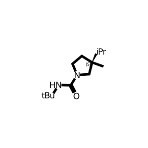 CC(C)[C@]1(C)CCN(C(=O)NC(C)(C)C)C1